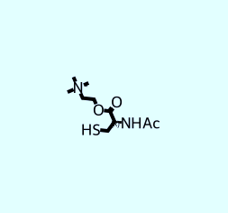 CC(=O)N[C@@H](CS)C(=O)OCC[N+](C)(C)C